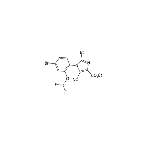 CCOC(=O)c1nc(CC)n(-c2ccc(Br)cc2OC(F)F)c1C#N